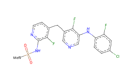 CNS(=O)(=O)Nc1nccc(Cc2cncc(Nc3ccc(Cl)cc3F)c2F)c1F